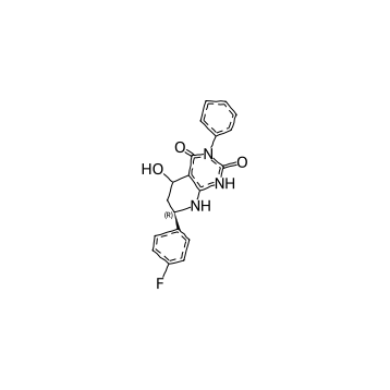 O=c1[nH]c2c(c(=O)n1-c1ccccc1)C(O)C[C@H](c1ccc(F)cc1)N2